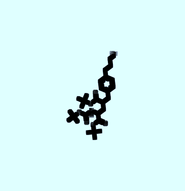 CC(C)(C)OC(=O)NC(CC(Cc1ccc(CCC[18F])cc1)C(=O)OC(C)(C)C)C(=O)OC(C)(C)C